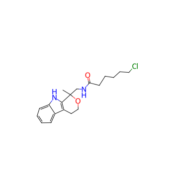 CC1(CNC(=O)CCCCCCl)OCCc2c1[nH]c1ccccc21